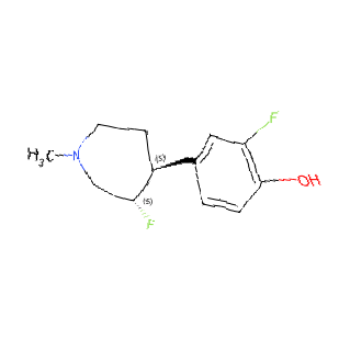 CN1CC[C@@H](c2ccc(O)c(F)c2)[C@H](F)C1